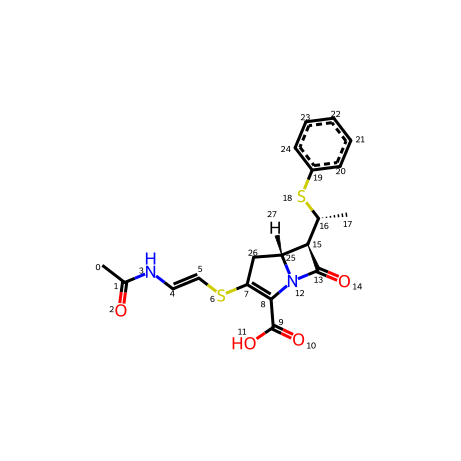 CC(=O)NC=CSC1=C(C(=O)O)N2C(=O)[C@H]([C@@H](C)Sc3ccccc3)[C@H]2C1